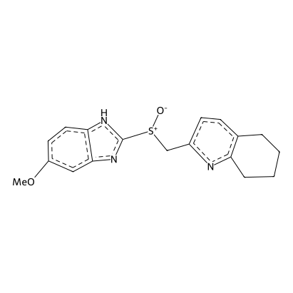 COc1ccc2[nH]c([S+]([O-])Cc3ccc4c(n3)CCCC4)nc2c1